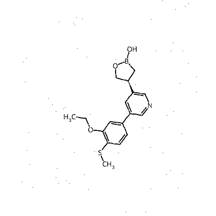 CCOc1cc(-c2cncc([C@H]3COB(O)C3)c2)ccc1SC